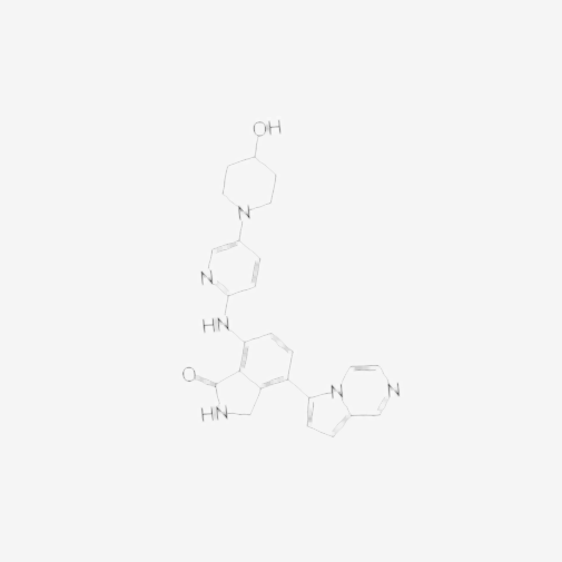 O=C1NCc2c(-c3ccc4cnccn34)ccc(Nc3ccc(N4CCC(O)CC4)cn3)c21